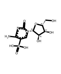 Nc1nc(=O)n([C@@H]2O[C@H](CO)[C@@H](O)[C@H]2O)cc1P(=O)(O)O